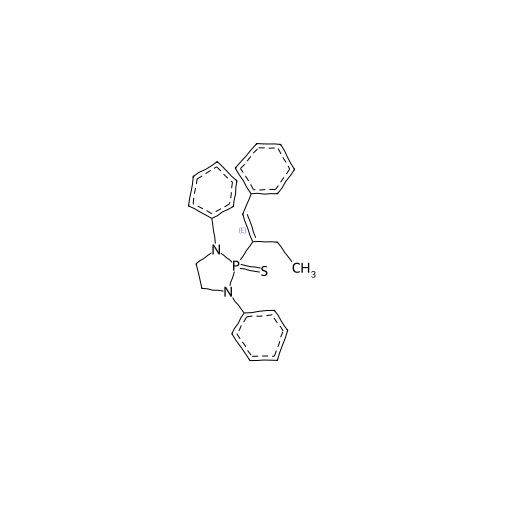 CC/C(=C\c1ccccc1)P1(=S)N(c2ccccc2)CCN1c1ccccc1